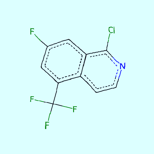 Fc1cc(C(F)(F)F)c2ccnc(Cl)c2c1